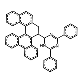 c1ccc(C2=NC(C3Cc4ccc5ccccc5c4-c4c3c3ccccc3c3ccccc43)NC(c3ccccc3)=N2)cc1